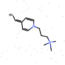 CC(C)(C)C=C1C=CN(CCC[N+](C)(C)C)C=C1